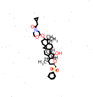 C[C@@H]1C[C@H](CS(=O)(=O)c2ccccc2)O[C@H]2[C@H]1[C@@]1(C)CC[C@@]34CC35CCC(O[C@H]3CN(C(=O)CC6CC6)CCO3)C(C)(C)[C@@H]5CC[C@H]4[C@]1(C)[C@H]2O